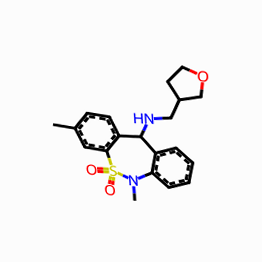 Cc1ccc2c(c1)S(=O)(=O)N(C)c1ccccc1C2NCC1CCOC1